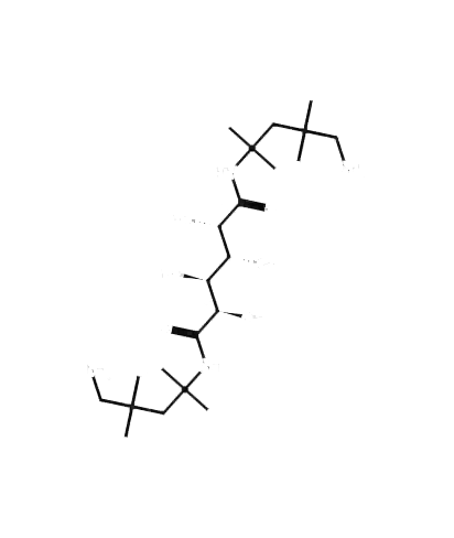 CC(C)(CN)CC(C)(C)NC(=O)[C@@H](O)[C@H](O)[C@H](O)[C@@H](O)C(=O)NC(C)(C)CC(C)(C)CN